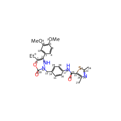 CCC1=C(c2ccc(OC)c(OC)c2)NN(Cc2ccc(NC(=O)c3sc(C)nc3C)cc2)C(=O)O1